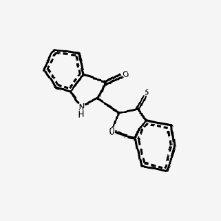 O=C1c2ccccc2NC1C1Oc2ccccc2C1=S